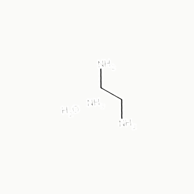 N.NCCN.O